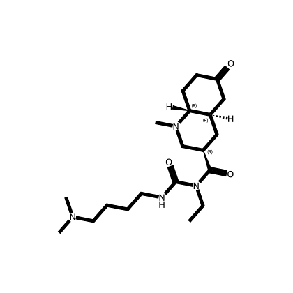 CCN(C(=O)NCCCCN(C)C)C(=O)[C@@H]1C[C@@H]2CC(=O)CC[C@H]2N(C)C1